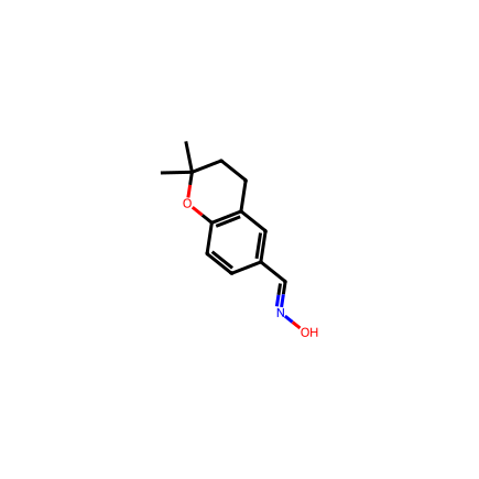 CC1(C)CCc2cc(C=NO)ccc2O1